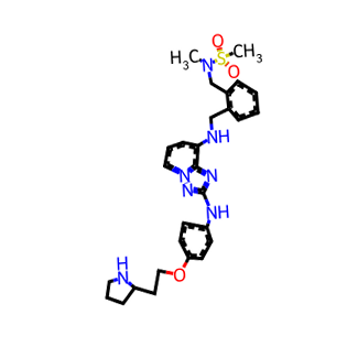 CN(Cc1ccccc1CNc1cccn2nc(Nc3ccc(OCCC4CCCN4)cc3)nc12)S(C)(=O)=O